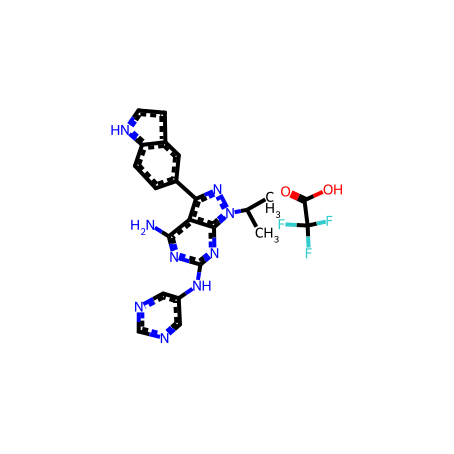 CC(C)n1nc(-c2ccc3[nH]ccc3c2)c2c(N)nc(Nc3cncnc3)nc21.O=C(O)C(F)(F)F